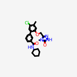 Cc1cc(OCc2n[nH]c(=O)n2C)c(-c2cccc(C(=O)NC3CCCCC3)c2)cc1Cl